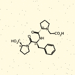 O=C(O)CN1CCC[C@H]1C(=O)N[C@@H](Cc1ccccc1)C(=O)N1CCC[C@H]1C(=O)O